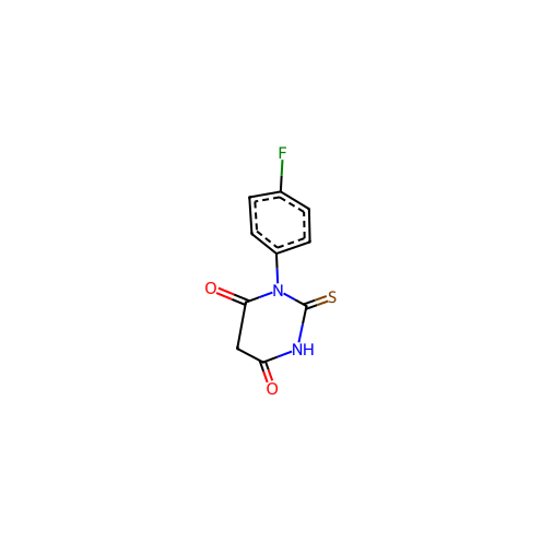 O=C1CC(=O)N(c2ccc(F)cc2)C(=S)N1